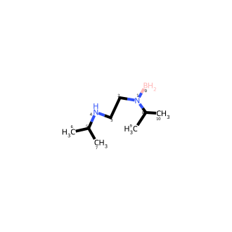 BN(CCNC(C)C)C(C)C